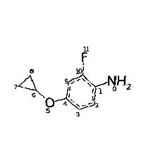 Nc1ccc(OC2CC2)cc1F